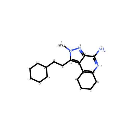 CCCn1nc2c(N)nc3c(c2c1CCC1CCCCC1)CCCC3